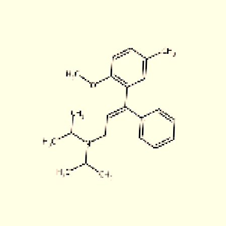 COc1ccc(C)cc1C(=CCN(C(C)C)C(C)C)c1ccccc1